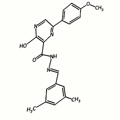 COc1ccc(-c2cnc(O)c(C(=O)N/N=C/c3cc(C)cc(C)c3)n2)cc1